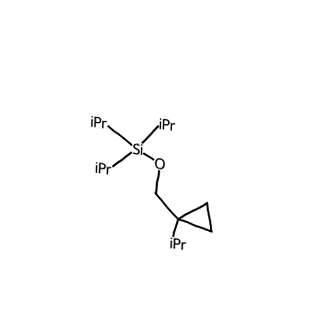 CC(C)C1(CO[Si](C(C)C)(C(C)C)C(C)C)CC1